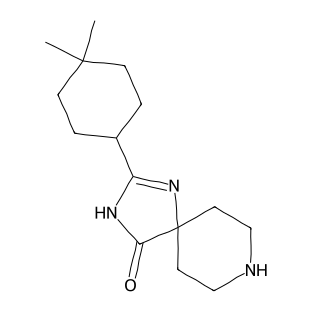 CC1(C)CCC(C2=NC3(CCNCC3)C(=O)N2)CC1